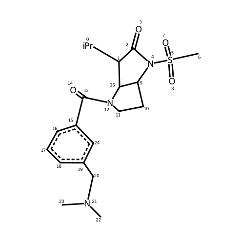 CC(C)C1C(=O)N(S(C)(=O)=O)C2CCN(C(=O)c3cccc(CN(C)C)c3)C12